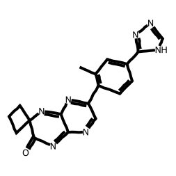 Cc1cc(-c2nnc[nH]2)ccc1-c1cnc2c(n1)=NC1(CCC1)C(=O)N=2